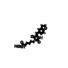 O=C(CCCCCN1C(=O)N/C(=C\c2ccc3c(c2)CCO3)C1=O)NO